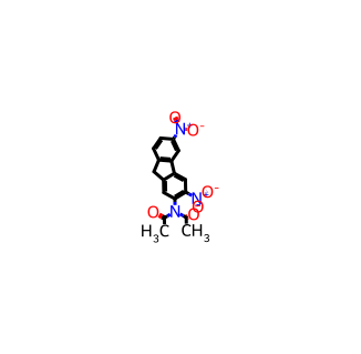 CC(=O)N(C(C)=O)c1cc2c(cc1[N+](=O)[O-])-c1cc([N+](=O)[O-])ccc1C2